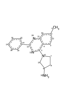 Cc1ccc2c(N3CCC(N)C3)nc(-c3[c]cccc3)nc2c1